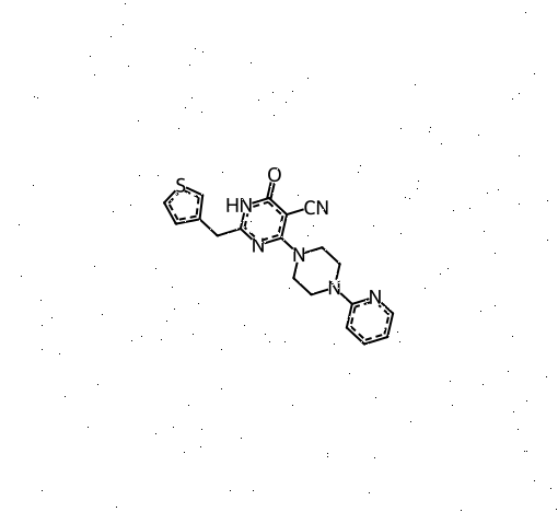 N#Cc1c(N2CCN(c3ccccn3)CC2)nc(Cc2ccsc2)[nH]c1=O